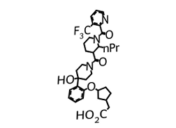 CCCC1C(C(=O)N2CCC(O)(c3ccccc3OC3CCC(CC(=O)O)C3)CC2)CCCN1C(=O)c1ncccc1C(F)(F)F